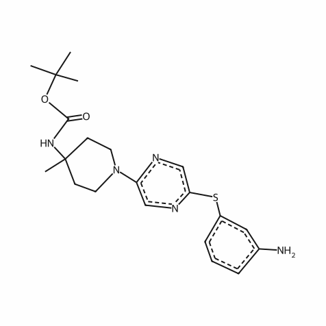 CC1(NC(=O)OC(C)(C)C)CCN(c2cnc(Sc3cccc(N)c3)cn2)CC1